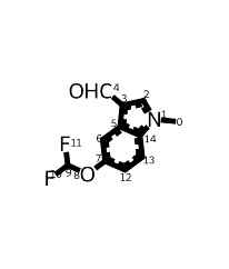 Cn1cc(C=O)c2cc(OC(F)F)ccc21